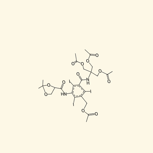 CC(=O)OCc1c(I)c(NC(=O)C2COC(C)(C)O2)c(I)c(C(=O)NC(COC(C)=O)(COC(C)=O)COC(C)=O)c1I